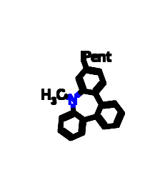 CCCC(C)c1ccc2c(c1)N(C)c1ccccc1-c1ccccc1-2